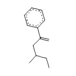 CCC(C)CC(=S)c1ccccc1